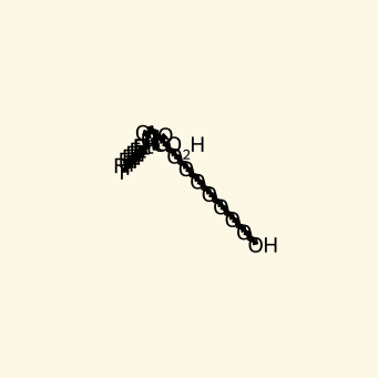 CCC(C)(CC(CC(C)C(=O)OCCC(F)(F)C(F)(F)C(F)(F)C(F)(F)C(F)(F)C(F)F)C(=O)OCCCOCCCOCCCOCCCOCCCOCCCOCCCOCCCO)C(=O)O